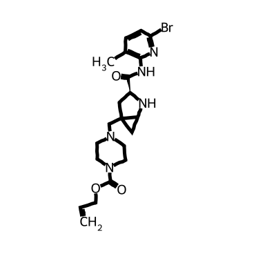 C=CCOC(=O)N1CCN(CC23CC2N[C@H](C(=O)Nc2nc(Br)ccc2C)C3)CC1